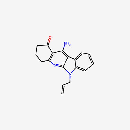 C=CCn1c2ccccc2c2c(N)c3c(nc21)CCCC3=O